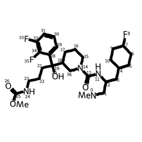 CNCC(CC1CCC(F)CC1)NC(=O)N1CCCC(C(O)(CCCNC(=O)OC)c2cccc(F)c2F)C1